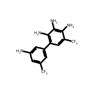 Nc1cc(-c2cc(C(F)(F)F)c(N)c(N)c2N)cc(C(F)(F)F)c1